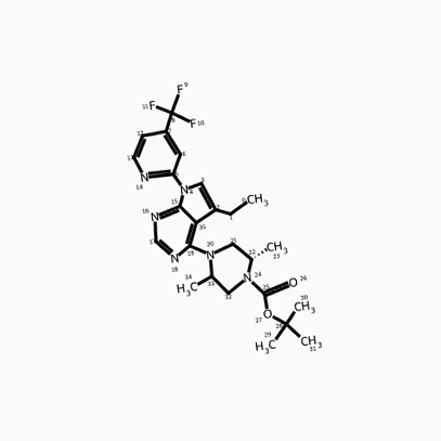 CCc1cn(-c2cc(C(F)(F)F)ccn2)c2ncnc(N3C[C@H](C)N(C(=O)OC(C)(C)C)CC3C)c12